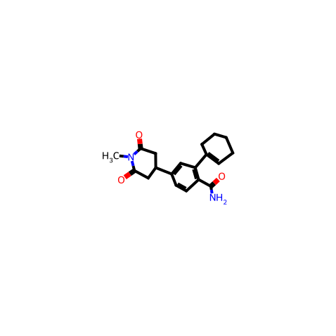 CN1C(=O)CC(c2ccc(C(N)=O)c(C3=CCCCC3)c2)CC1=O